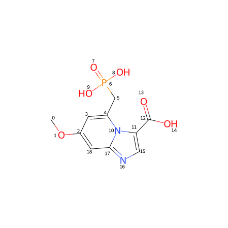 COc1cc(CP(=O)(O)O)n2c(C(=O)O)cnc2c1